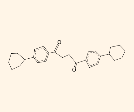 O=C(CCC(=O)c1ccc(C2CCCCC2)cc1)c1ccc(C2CCCCC2)cc1